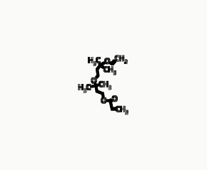 C=COC(C)(C)CCOC(C)(C)CCOC(=O)C=C